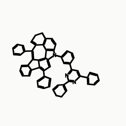 C1=CC(c2nc(-c3ccccc3)cc(-c3cccc(-n4c5cc(-c6ccccc6)c6c7c5c5c8c(ccc54)CCC=c8c(-c4ccccc4)c-7c4ccccc46)c3)n2)=CCC1